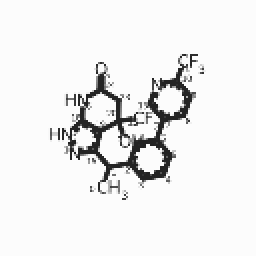 CC(c1cccc(-c2ccc(C(F)(F)F)nc2)c1)c1n[nH]c2c1C(O)(C(F)(F)F)CC(=O)N2